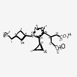 CC(C)CC1CC(n2nnc(C(CC=O)CC(=O)O)c2C2CC2)C1